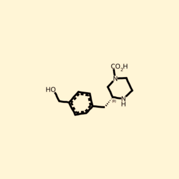 O=C(O)N1CCN[C@H](Cc2ccc(CO)cc2)C1